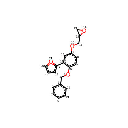 c1ccc(COc2ccc(OCC3CO3)cc2-c2ccco2)cc1